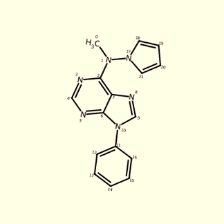 CN(c1ncnc2c1ncn2-c1ccccc1)n1cccc1